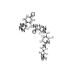 Cc1nc(N2CC3(C2)CN(C(C)C)C3)ccc1Cn1cc(C(=O)NCc2cc(Cl)ccc2-n2cnnn2)cn1